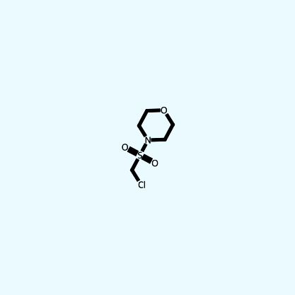 O=S(=O)(CCl)N1CCOCC1